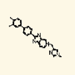 Cc1ccc(-c2ccc(-c3nc4ccn(Cc5cn(C)cn5)cc-4n3)cc2)cc1C